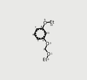 CCOCOc1[c]ccc(OCC)c1